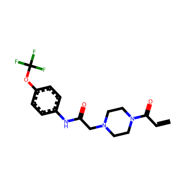 C=CC(=O)N1CCN(CC(=O)Nc2ccc(OC(F)(F)F)cc2)CC1